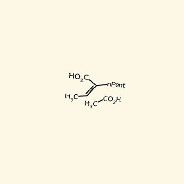 CC(=O)O.CC=C(CCCCC)C(=O)O